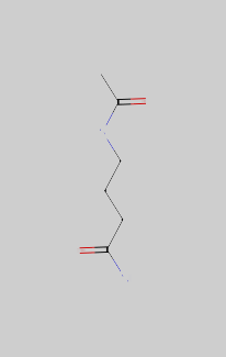 CC(=O)NCCCC([NH])=O